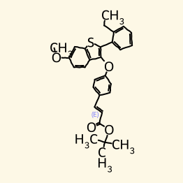 CCc1ccccc1-c1sc2cc(OC)ccc2c1Oc1ccc(/C=C/C(=O)OC(C)(C)C)cc1